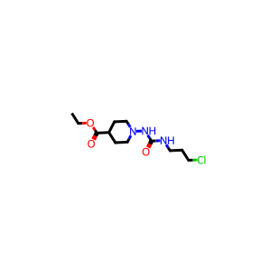 CCOC(=O)C1CCN(NC(=O)NCCCCl)CC1